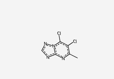 Cc1nc2ncnn2c(Cl)c1Cl